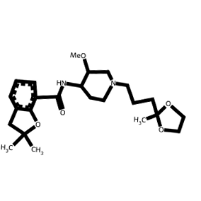 COC1CN(CCCC2(C)OCCO2)CCC1NC(=O)c1cccc2c1OC(C)(C)C2